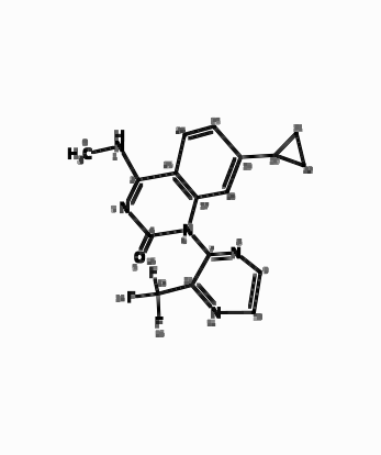 CNc1nc(=O)n(-c2nccnc2C(F)(F)F)c2cc(C3CC3)ccc12